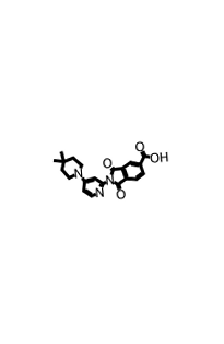 CC1(C)CCN(c2ccnc(N3C(=O)c4ccc(C(=O)O)cc4C3=O)c2)CC1